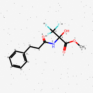 COC(=O)C(O)(NC(=O)CCc1ccccc1)C(F)(F)F